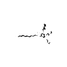 CC(C)(C)OC(=O)CCOC1[C@H](OCCC(=O)OC(C)(C)C)CC(C(=O)NCCCCCCCCCCCO)C[C@H]1OCCC(=O)OC(C)(C)C